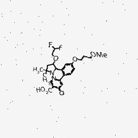 COCCCOc1ccc2c(c1)C1C(OCC(F)F)CC(C)(C)N1n1cc(C(=O)O)c(=O)cc1-2